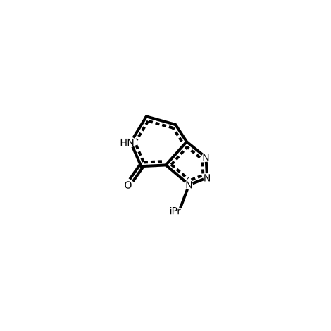 CC(C)n1nnc2cc[nH]c(=O)c21